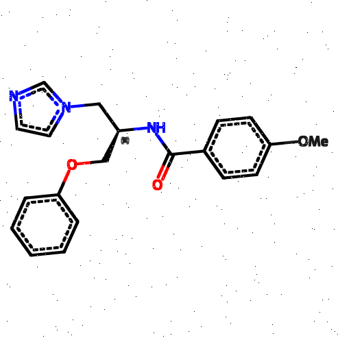 COc1ccc(C(=O)N[C@@H](COc2ccccc2)Cn2ccnc2)cc1